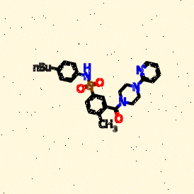 CCCCc1ccc(NS(=O)(=O)c2ccc(C)c(C(=O)N3CCN(c4ccccn4)CC3)c2)cc1